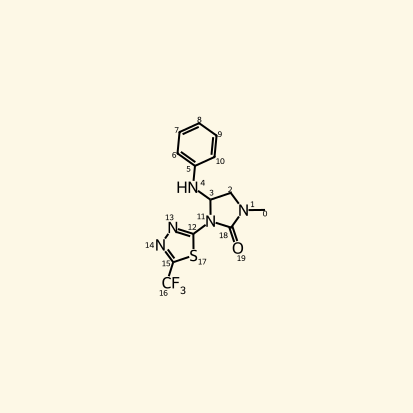 CN1CC(Nc2ccccc2)N(c2nnc(C(F)(F)F)s2)C1=O